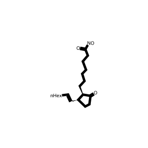 CCCCCC/C=C/[C@H]1CCC(=O)[C@@H]1CCCCCCC(=O)N=O